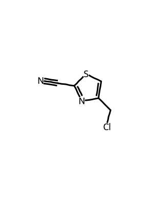 N#Cc1nc(CCl)cs1